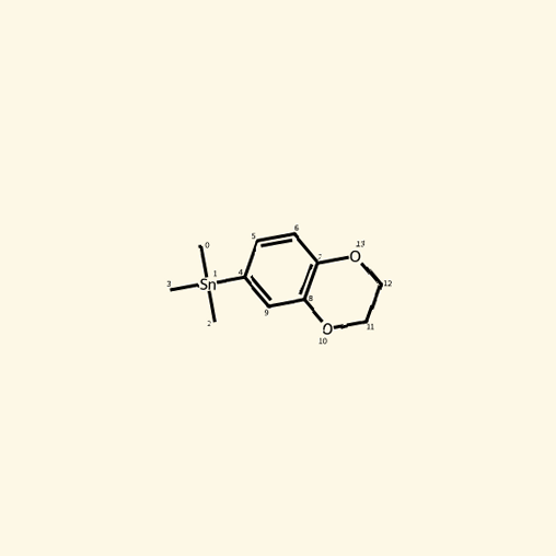 [CH3][Sn]([CH3])([CH3])[c]1ccc2c(c1)OCCO2